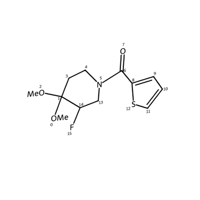 COC1(OC)CCN(C(=O)c2cccs2)CC1F